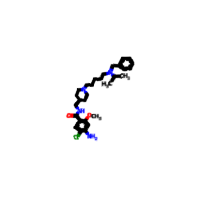 COc1cc(N)c(Cl)cc1C(=O)NCC1CCN(CCCCCN(Cc2ccccc2)C(C)C)CC1